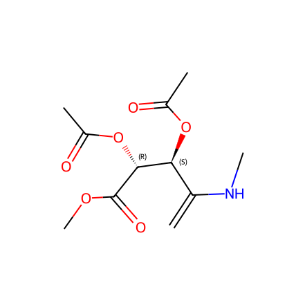 C=C(NC)[C@H](OC(C)=O)[C@@H](OC(C)=O)C(=O)OC